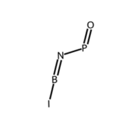 O=PN=BI